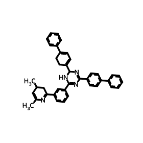 CC1=CC(C)CC(c2cccc(C3=NC(c4ccc(-c5ccccc5)cc4)=NC(C4=CC=C(c5ccccc5)CC4)N3)c2)=N1